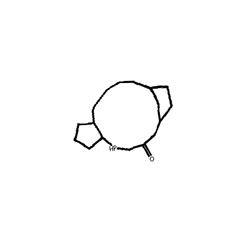 O=C1CPC2CCCC2CCCCC2CCC(C1)C2